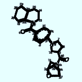 O=C(c1ccc(N2CCC(C(=O)N3CC4CC3CO4)C2)cc1)N1CCCC2CCCC=C21